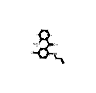 C=CCNc1ccc(Cl)cc1C(=O)c1ccccc1OC